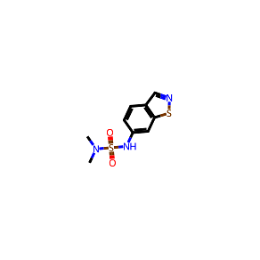 CN(C)S(=O)(=O)Nc1ccc2cnsc2c1